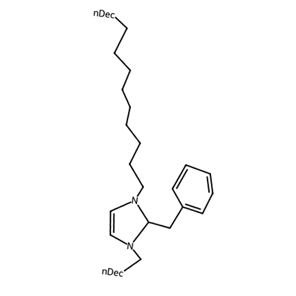 CCCCCCCCCCCCCCCCCCCN1C=CN(CCCCCCCCCCC)C1Cc1ccccc1